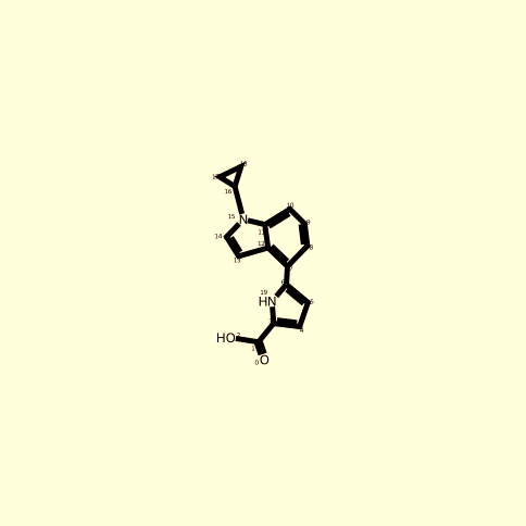 O=C(O)c1ccc(-c2cccc3c2ccn3C2CC2)[nH]1